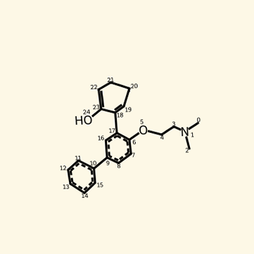 CN(C)CCOc1ccc(-c2ccccc2)cc1C1=C[CH]CC=C1O